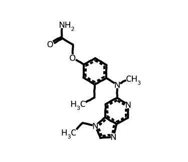 CCc1cc(OCC(N)=O)ccc1N(C)c1cc2c(cn1)ncn2CC